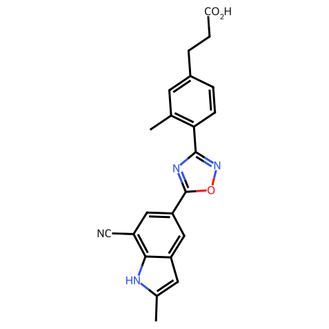 Cc1cc2cc(-c3nc(-c4ccc(CCC(=O)O)cc4C)no3)cc(C#N)c2[nH]1